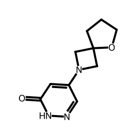 O=c1cc(N2CC3(CCCO3)C2)cn[nH]1